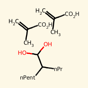 C=C(C)C(=O)O.C=C(C)C(=O)O.CCCCCC(CCC)C(O)O